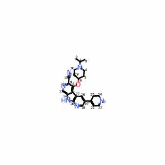 CC(C)N1CCC(Oc2c(C#N)ncc3[nH]c4ncc(C5=CC=NCC5)cc4c23)CC1